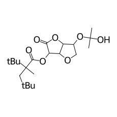 CC(C)(C)CC(C)(C(=O)OC1C(=O)OC2C(OC(C)(C)O)COC12)C(C)(C)C